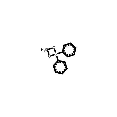 c1ccc([Si]2(c3ccccc3)O[SiH2]O2)cc1